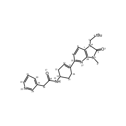 Cn1c(=O)n(CC(C)(C)C)c2ccc(C3=CCC(NC(=O)Cc4cccnc4)CC3)nc21